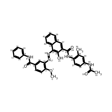 COc1ccc(C(=O)Nc2ccccc2)cc1N=Nc1c(O)c(C(=O)Nc2ccc(NC(C)=O)cc2C)cc2ccccc12